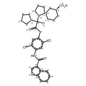 O=C(Nc1cc(Cl)c(CC(=O)C(O[C@H]2CC[C@H](C(=O)O)CC2)(N2CCCC2)N2CCCC2)cc1Cl)c1csc2ccccc12